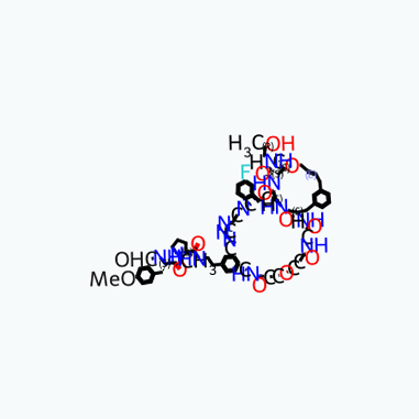 COc1ccc(C[C@H](NC=O)C(=O)N2CCC[C@@]2(C)C(=O)NCCc2ccc3c(c2)Cn2cc(nn2)Cn2cc(c4cc(F)ccc42)C[C@@H]2NC(=O)[C@H](Cc4cccc(c4)C/C=C/CO[C@@H](C)[C@@H](C(=O)NC[C@@H](C)O)NC2=O)NC(=O)CNC(=O)CCOCCC(=O)NC3)cc1